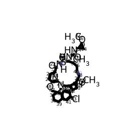 CO[C@H]1/C=C/C[C@H](C)C(NC(=O)N[C@H]2C[C@@H]2OC)/[SH](=O)=N\C(=O)c2ccc3c(n2)N(C[C@@H]2CC[C@H]21)C[C@@]1(CCCc2cc(Cl)ccc21)CO3